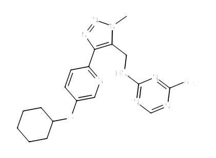 CCCCc1ncnc(NCc2c(-c3ccc(OC4CCCCC4)cn3)nnn2C)n1